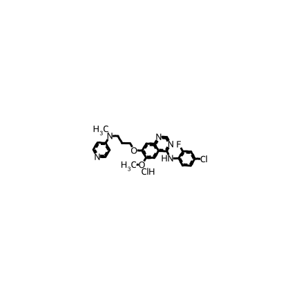 COc1cc2c(Nc3ccc(Cl)cc3F)ncnc2cc1OCCCN(C)c1ccncc1.Cl